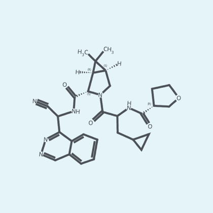 CC1(C)[C@@H]2[C@@H](C(=O)NC(C#N)c3nncc4ccccc34)N(C(=O)C(CC3CC3)NC(=O)[C@@H]3CCOC3)C[C@@H]21